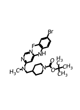 CN(CC1CCN(C(=O)OC(C)(C)C)CC1)c1cc(Nc2ccc(Br)cc2F)ncn1